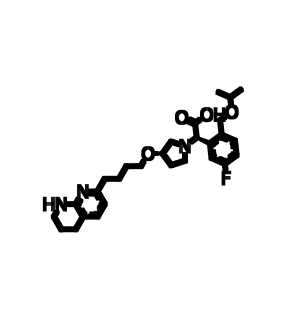 CC(C)OCc1ccc(F)cc1[C@H](C(=O)O)N1CC[C@@H](OCCCCc2ccc3c(n2)NCCC3)C1